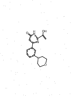 C=C(O)c1nc(-c2cccc(N3CCOCC3)c2)cc(=O)[nH]1